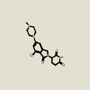 CN1CCN(c2cc(Cl)c3c(c2)CN(C2CCC(=O)NC2=O)C3=O)CC1